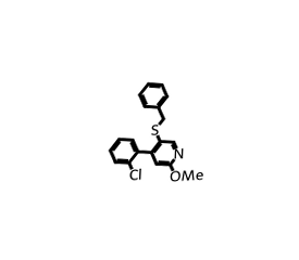 COc1cc(-c2ccccc2Cl)c(SCc2ccccc2)cn1